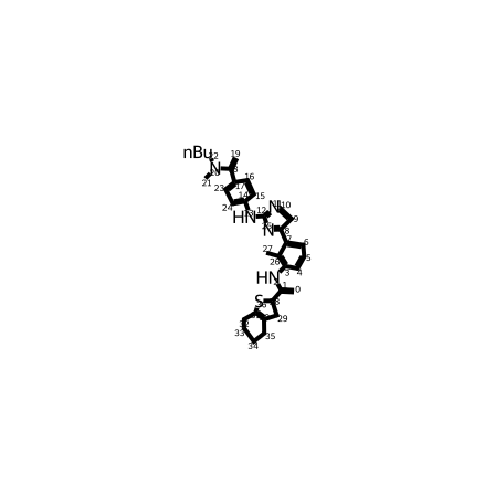 C=C(Nc1cccc(-c2ccnc(Nc3ccc(C(=C)N(C)CCCC)cc3)n2)c1C)C1CC2=C(CCCC2)S1